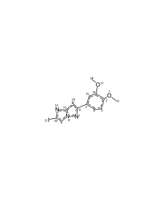 COc1ccc(-c2nn3cc(I)nc3s2)cc1OC